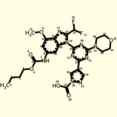 CCCCOC(=O)Nc1cc(OC)c2nc(C(F)F)n(-c3nc(-c4cnn(C(=O)O)c4)nc(N4CCOCC4)n3)c2c1